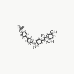 O=C([C@@H](CO)c1ccc(Nc2ncc(-c3ccc(OC(F)F)cc3)cn2)cc1)N1CCC[C@H](O)C1